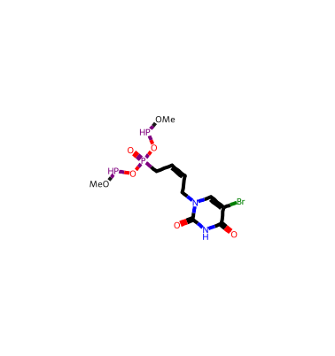 COPOP(=O)(C/C=C\Cn1cc(Br)c(=O)[nH]c1=O)OPOC